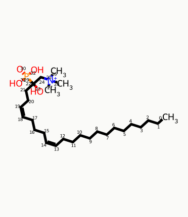 CCCCCCCCCCCCC/C=C\CCC/C=C\CCC(O)(C[N+](C)(C)C)P(=O)(O)O